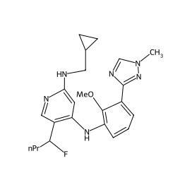 CCCC(F)c1cnc(NCC2CC2)cc1Nc1cccc(-c2ncn(C)n2)c1OC